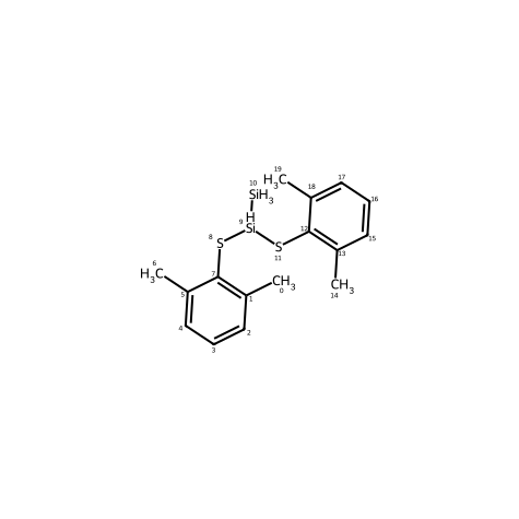 Cc1cccc(C)c1S[SiH]([SiH3])Sc1c(C)cccc1C